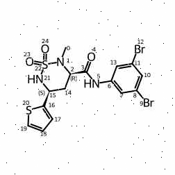 CN1[C@@H](C(=O)Nc2cc(Br)cc(Br)c2)C[C@@H](c2cccs2)NS1(=O)=O